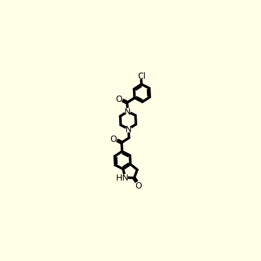 O=C1Cc2cc(C(=O)CN3CCN(C(=O)c4cccc(Cl)c4)CC3)ccc2N1